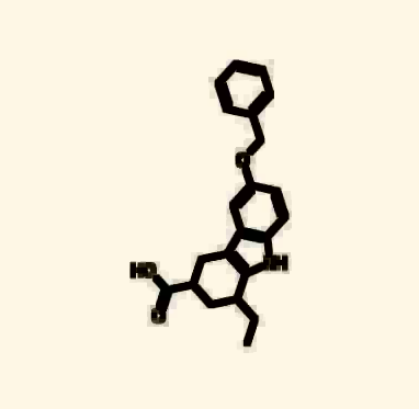 CCC1CC(C(=O)O)Cc2c1[nH]c1ccc(OCc3ccccc3)cc21